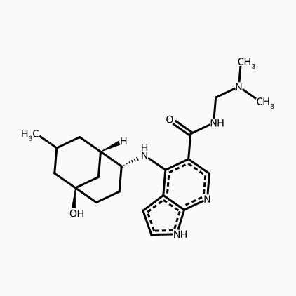 CC1C[C@H]2C[C@](O)(CC[C@H]2Nc2c(C(=O)NCN(C)C)cnc3[nH]ccc23)C1